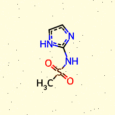 CS(=O)(=O)Nc1ncc[nH]1